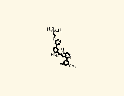 Cc1cc(F)cc(-c2nccc3[nH]c(-c4n[nH]c5ccc(-c6cncc(OCCN(C)C)c6)cc45)cc23)c1